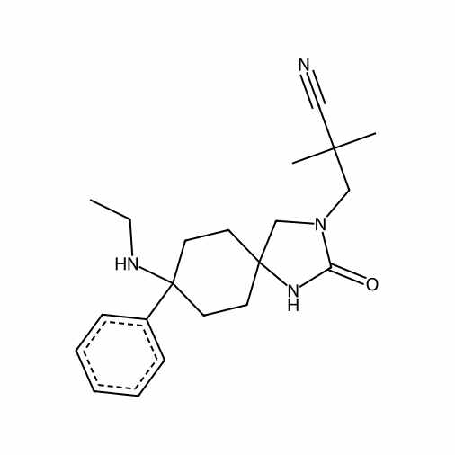 CCNC1(c2ccccc2)CCC2(CC1)CN(CC(C)(C)C#N)C(=O)N2